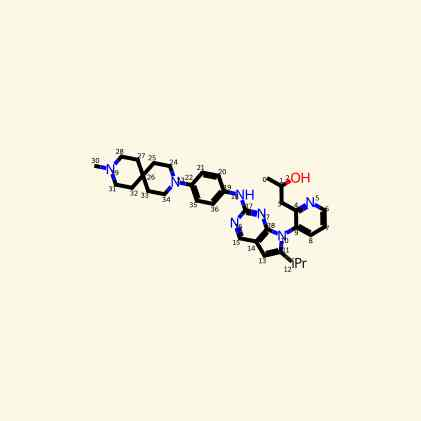 CC(O)Cc1ncccc1-n1c(C(C)C)cc2cnc(Nc3ccc(N4CCC5(CCN(C)CC5)CC4)cc3)nc21